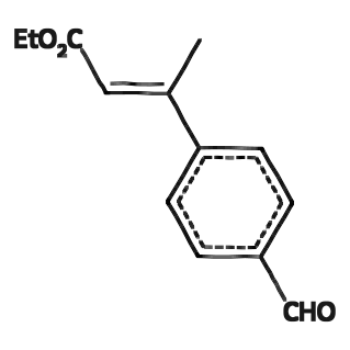 CCOC(=O)C=C(C)c1ccc(C=O)cc1